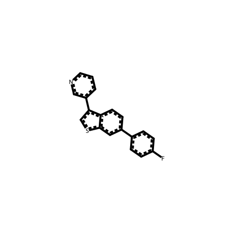 Fc1ccc(-c2ccc3c(-c4cccnc4)csc3c2)cc1